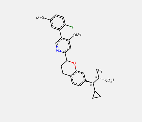 COc1ccc(F)c(-c2cnc(C3CCc4ccc([C@H](C5CC5)[C@H](C)C(=O)O)cc4O3)cc2OC)c1